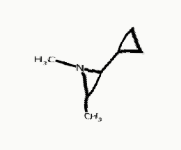 CC1C(C2CC2)N1C